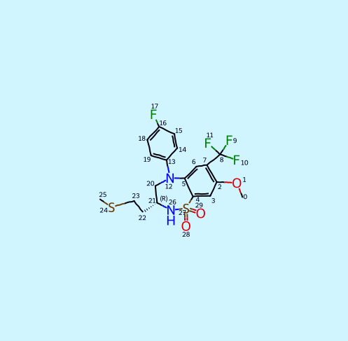 COc1cc2c(cc1C(F)(F)F)N(c1ccc(F)cc1)C[C@@H](CCSC)NS2(=O)=O